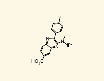 Cc1ccc(-c2nc3ccc(C(=O)O)cc3nc2N(C)C(C)C)cc1